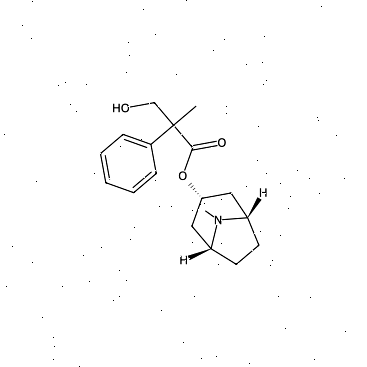 CN1[C@@H]2CC[C@H]1C[C@@H](OC(=O)C(C)(CO)c1ccccc1)C2